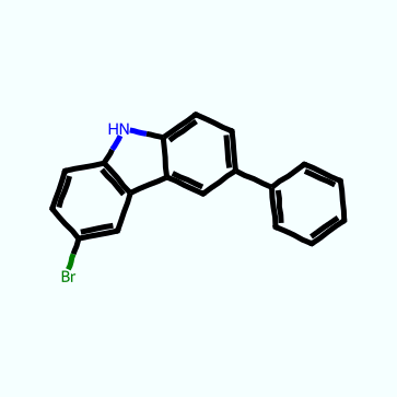 Brc1ccc2[nH]c3ccc(-c4ccccc4)cc3c2c1